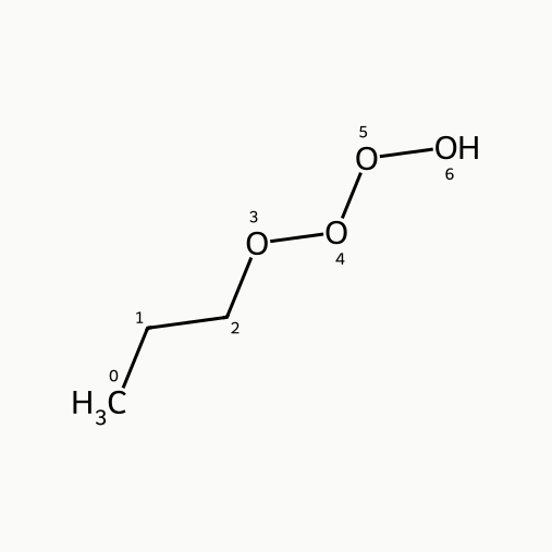 CCCOOOO